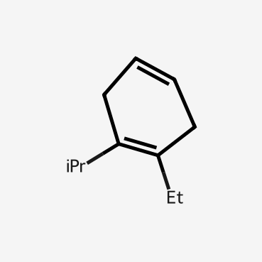 CCC1=C(C(C)C)CC=CC1